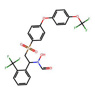 O=CN(O)C(CS(=O)(=O)c1ccc(Oc2ccc(OC(F)(F)F)cc2)cc1)c1ccccc1C(F)(F)F